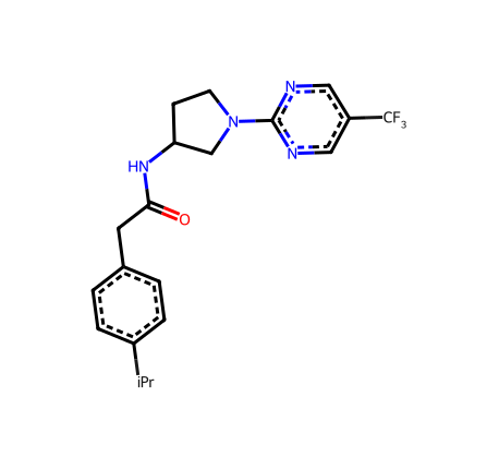 CC(C)c1ccc(CC(=O)NC2CCN(c3ncc(C(F)(F)F)cn3)C2)cc1